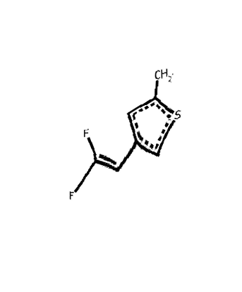 [CH2]c1cc(C=C(F)F)cs1